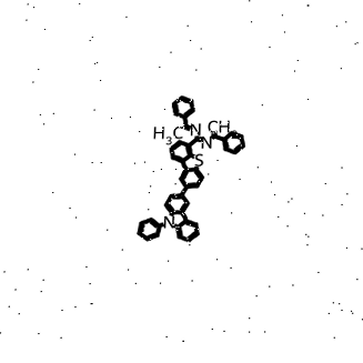 C=C(/N=C(\N=C(/C)c1ccccc1)c1cccc2c1sc1ccc(-c3ccc4c(c3)c3ccccc3n4-c3ccccc3)cc12)c1ccccc1